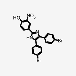 O=[N+]([O-])c1cc(-c2nc(-c3ccc(Br)cc3)c(-c3ccc(Br)cc3)[nH]2)ccc1O